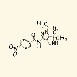 CCn1nc(NC(=O)c2ccc([N+](=O)[O-])cc2)c2c1C(C)(C)NC2